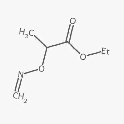 C=NOC(C)C(=O)OCC